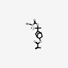 C=C(F)C(=O)OC1CC2CC1CC2C(C)(OC(=O)OC(C)(C)C)C(F)(F)F